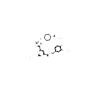 COc1cc(CNC(=O)c2cc(-c3nnn(C[C@H]4CC[C@H](C(=O)OC)CC4)n3)nc(C)n2)ccc1F